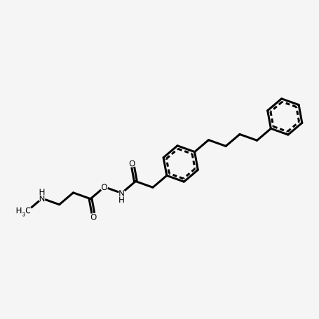 CNCCC(=O)ONC(=O)Cc1ccc(CCCCc2ccccc2)cc1